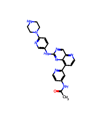 CC(=O)Nc1ccnc(-c2ccnc3cnc(Nc4ccc(N5CCNCC5)nc4)nc23)c1